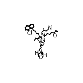 C=CC(=O)CCCCN(C[C@@H](C)CC#N)c1nc(OCCCN2C[C@@H]3C[C@H]2CO3)nc(CC)c1CCCCc1cccc2cccc(Cl)c12